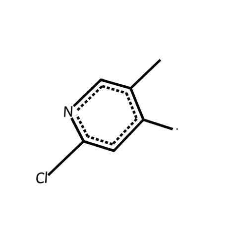 [CH2]c1cc(Cl)ncc1C